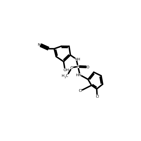 COP(=O)(Nc1ccc(C#N)cc1O)Nc1cccc(Cl)c1Cl